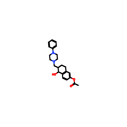 CC(=O)Oc1ccc2c(c1)CCC(CN1CCN(c3ccccc3)CC1)C2O